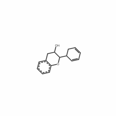 OC1Cc2ccccc2OC1C1C=CC=CC1